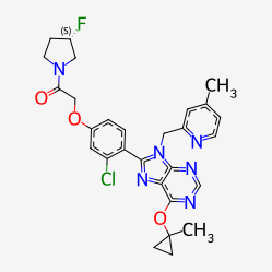 Cc1ccnc(Cn2c(-c3ccc(OCC(=O)N4CC[C@H](F)C4)cc3Cl)nc3c(OC4(C)CC4)ncnc32)c1